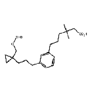 CC(C)(CCCc1cccc(CCCC2(COC=O)CC2)c1)CC(=O)O